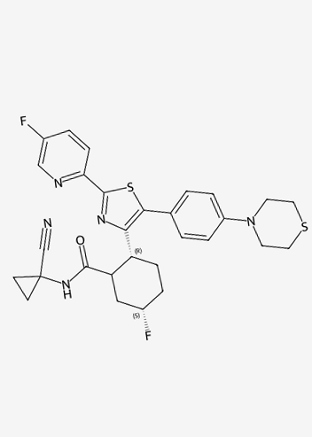 N#CC1(NC(=O)C2C[C@@H](F)CC[C@H]2c2nc(-c3ccc(F)cn3)sc2-c2ccc(N3CCSCC3)cc2)CC1